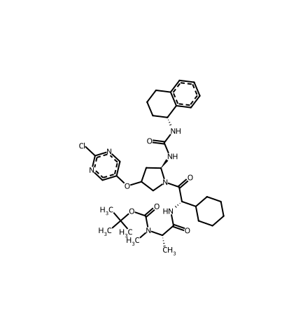 C[C@@H](C(=O)N[C@H](C(=O)N1CC(Oc2cnc(Cl)nc2)C[C@H]1NC(=O)N[C@@H]1CCCc2ccccc21)C1CCCCC1)N(C)C(=O)OC(C)(C)C